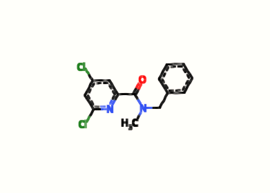 CN(Cc1ccccc1)C(=O)c1cc(Cl)cc(Cl)n1